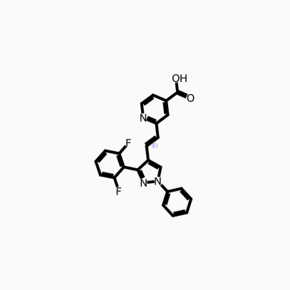 O=C(O)c1ccnc(/C=C/c2cn(-c3ccccc3)nc2-c2c(F)cccc2F)c1